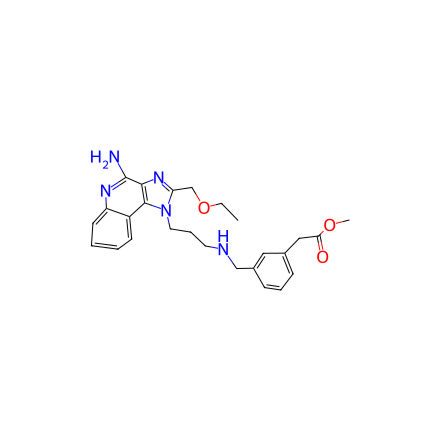 CCOCc1nc2c(N)nc3ccccc3c2n1CCCNCc1cccc(CC(=O)OC)c1